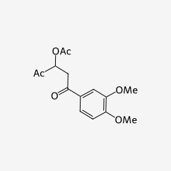 COc1ccc(C(=O)CC(OC(C)=O)C(C)=O)cc1OC